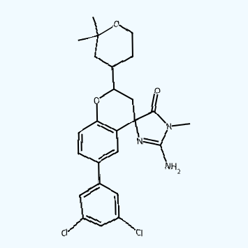 CN1C(=O)C2(CC(C3CCOC(C)(C)C3)Oc3ccc(-c4cc(Cl)cc(Cl)c4)cc32)N=C1N